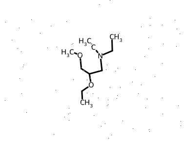 CCOC(COC)CN(CC)CC